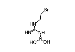 N=C(NCCBr)NN(O)O